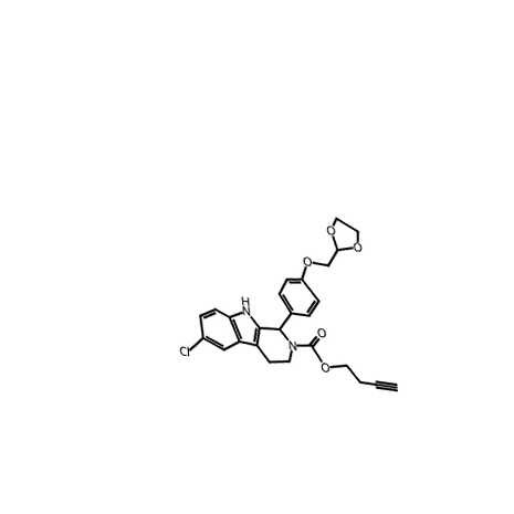 C#CCCOC(=O)N1CCc2c([nH]c3ccc(Cl)cc23)C1c1ccc(OCC2OCCO2)cc1